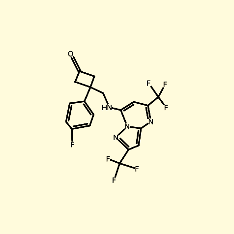 O=C1CC(CNc2cc(C(F)(F)F)nc3cc(C(F)(F)F)nn23)(c2ccc(F)cc2)C1